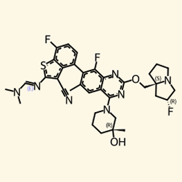 Cc1cc2c(N3CCC[C@@](C)(O)C3)nc(OC[C@@]34CCCN3C[C@H](F)C4)nc2c(F)c1-c1ccc(F)c2sc(/N=C/N(C)C)c(C#N)c12